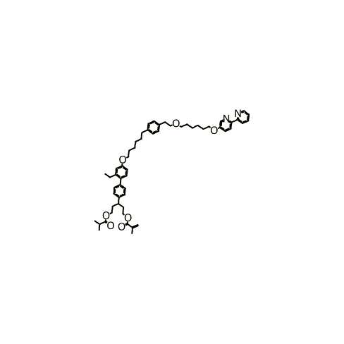 C=C(C)C(=O)OCCC(CCOC(=O)C(C)C)c1ccc(-c2ccc(OCCCCCCc3ccc(CCOCCCCCCOc4ccc(-c5ccccn5)nc4)cc3)cc2CC)cc1